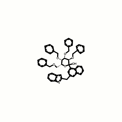 OC1(c2cc(Cc3cc4ccccc4s3)cc3ccccc23)O[C@H](COCc2ccccc2)[C@H](OCc2ccccc2)[C@H](OCc2ccccc2)[C@H]1OCc1ccccc1